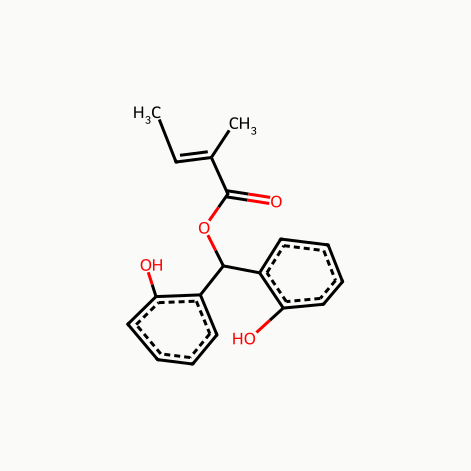 CC=C(C)C(=O)OC(c1ccccc1O)c1ccccc1O